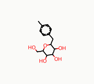 Cc1ccc(CC2OC(CO)C(O)C(O)C2O)cc1